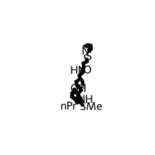 CCCc1c(SC)[nH]c2c(CN3CCC(CCNC(=O)CCSSc4ccccn4)CC3)c(O)ccc12